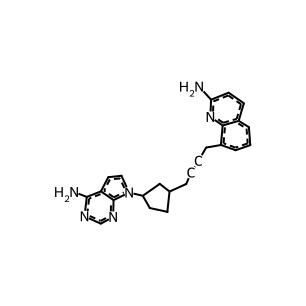 Nc1ccc2cccc(CCCCC3CCC(n4ccc5c(N)ncnc54)C3)c2n1